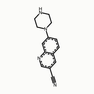 N#Cc1cnc2cc(N3CCNCC3)ccc2c1